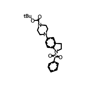 CC(C)(C)OC(=O)N1CCN(c2ccc3c(c2)CCN3S(=O)(=O)c2ccccc2)CC1